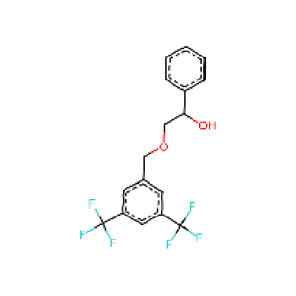 OC(COCc1cc(C(F)(F)F)cc(C(F)(F)F)c1)c1ccccc1